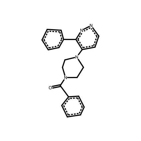 O=C(c1ccccc1)N1CCN(c2ccnnc2-c2ccccc2)CC1